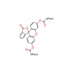 CCCCCC(=O)Oc1ccc2c(c1)Oc1cc(OC(=O)CCCCC)ccc1C21OC(=O)c2ccccc21